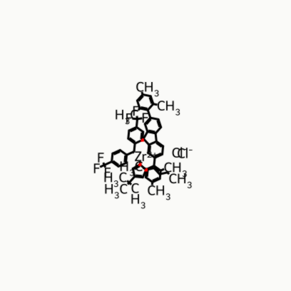 CCCCC1C=C(C(C)(C)C)C=[C]1[Zr+2](=[C](c1ccc(C(F)(F)F)cc1)c1ccc(C(F)(F)F)cc1)[c]1c(-c2c(C)cc(C)cc2C)ccc2c1Cc1cc(-c3c(C)cc(C)cc3C)ccc1-2.[Cl-].[Cl-]